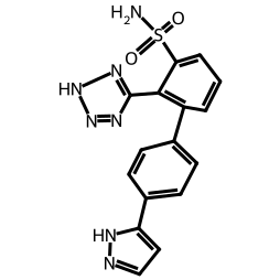 NS(=O)(=O)c1cccc(-c2ccc(-c3ccn[nH]3)cc2)c1-c1nn[nH]n1